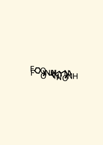 O=C(NCc1cn2ncc(CN3CCNC3=O)cc2n1)OC1CCC(F)(F)CC1